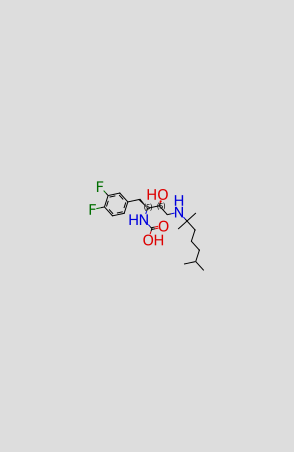 CC(C)CCCC(C)(C)NC[C@H](O)[C@H](Cc1ccc(F)c(F)c1)NC(=O)O